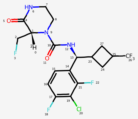 [2H][C@@]1(CF)C(=O)NCCN1C(=O)N[C@H](c1ccc(F)c(Cl)c1F)C1CC(C(F)(F)F)C1